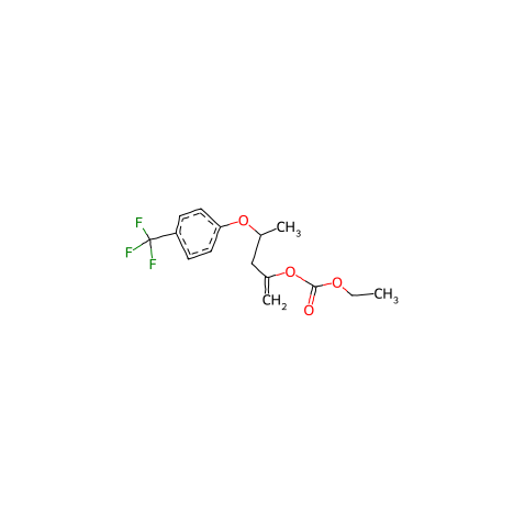 C=C(CC(C)Oc1ccc(C(F)(F)F)cc1)OC(=O)OCC